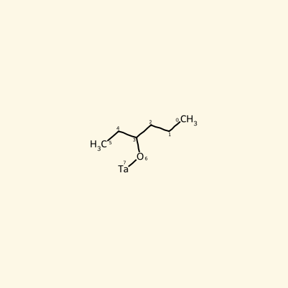 CCCC(CC)[O][Ta]